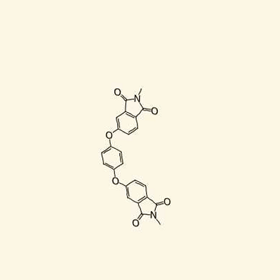 CN1C(=O)c2ccc(Oc3ccc(Oc4ccc5c(c4)C(=O)N(C)C5=O)cc3)cc2C1=O